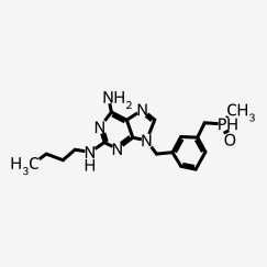 CCCCNc1nc(N)c2ncn(Cc3cccc(C[PH](C)=O)c3)c2n1